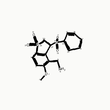 COc1ccc2c(c1CN)C(S(=O)(=O)c1ccccc1)CS2(=O)=O